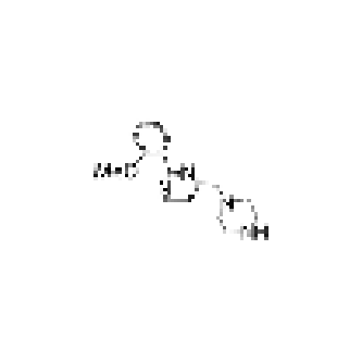 COc1ccccc1-c1nccc(CN2CCNCC2)n1